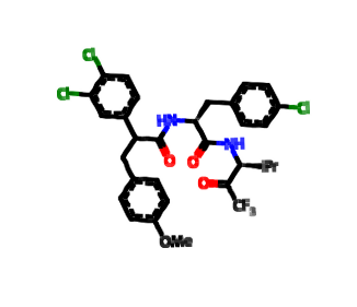 COc1ccc(CC(C(=O)N[C@@H](Cc2ccc(Cl)cc2)C(=O)N[C@H](C(=O)C(F)(F)F)C(C)C)c2ccc(Cl)c(Cl)c2)cc1